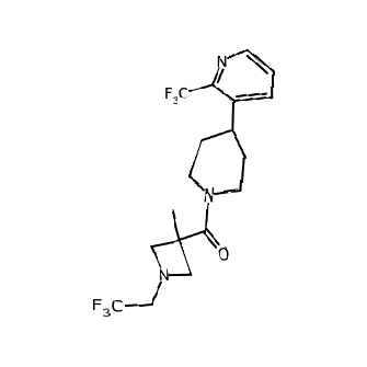 CC1(C(=O)N2CCC(c3cccnc3C(F)(F)F)CC2)CN(CC(F)(F)F)C1